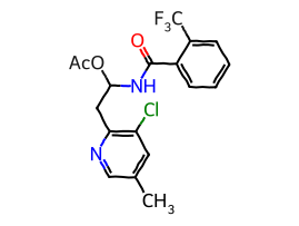 CC(=O)OC(Cc1ncc(C)cc1Cl)NC(=O)c1ccccc1C(F)(F)F